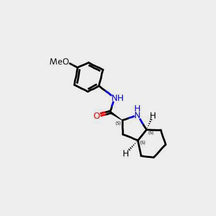 COc1ccc(NC(=O)[C@@H]2C[C@@H]3CCCC[C@@H]3N2)cc1